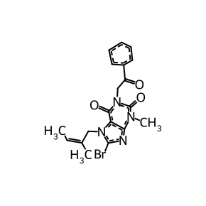 C/C=C(/C)Cn1c(Br)nc2c1c(=O)n(CC(=O)c1ccccc1)c(=O)n2C